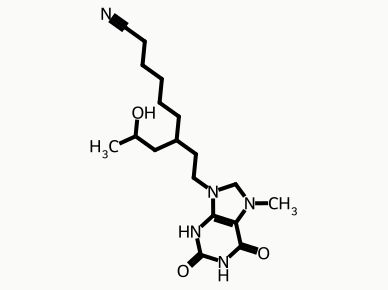 CC(O)CC(CCCCCC#N)CCN1CN(C)c2c1[nH]c(=O)[nH]c2=O